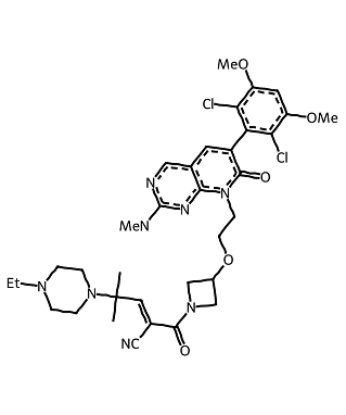 CCN1CCN(C(C)(C)C=C(C#N)C(=O)N2CC(OCCn3c(=O)c(-c4c(Cl)c(OC)cc(OC)c4Cl)cc4cnc(NC)nc43)C2)CC1